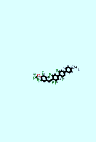 CC1CCC(C2CC(F)C(C3CC(F)C(C(F)(F)CC4CC(F)C(OC(F)(F)F)C(F)C4)C(F)C3)C(F)C2)CC1